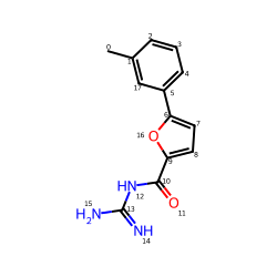 Cc1cccc(-c2ccc(C(=O)NC(=N)N)o2)c1